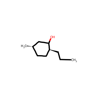 CCC[C@H]1CC[C@H](C)CC1O